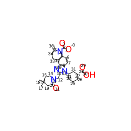 COC(=O)N1c2ccc3c(nc(CN4CCC(C)(C)CC4=O)n3[C@@H]3CCC[C@@H](C(=O)O)C3)c2CCC1C